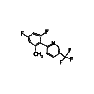 Cc1cc(F)cc(F)c1-c1ccc(C(F)(F)F)cn1